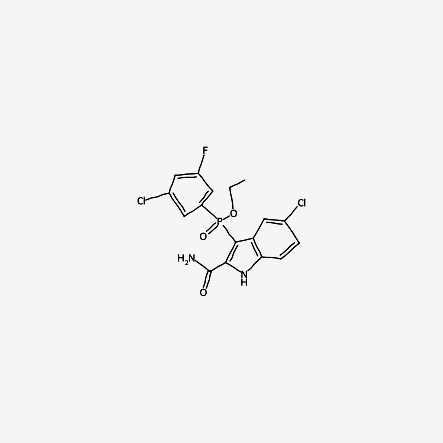 CCOP(=O)(c1cc(F)cc(Cl)c1)c1c(C(N)=O)[nH]c2ccc(Cl)cc12